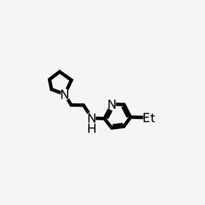 CCc1ccc(NCCN2CCCC2)nc1